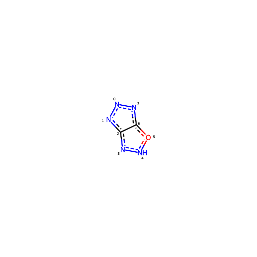 n1nc2n[nH]oc-2n1